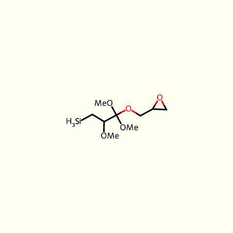 COC(C[SiH3])C(OC)(OC)OCC1CO1